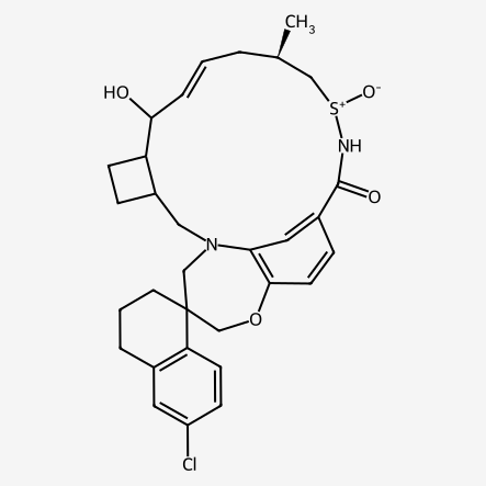 C[C@@H]1C/C=C/C(O)C2CCC2CN2CC3(CCCc4cc(Cl)ccc43)COc3ccc(cc32)C(=O)N[S+]([O-])C1